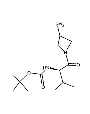 CC(C)[C@@H](NC(=O)OC(C)(C)C)C(=O)N1CC(N)C1